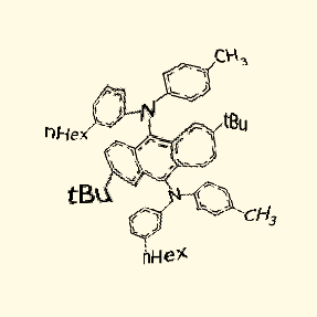 CCCCCCc1cccc(N(c2ccc(C)cc2)c2c3ccc(C(C)(C)C)cc3c(N(c3ccc(C)cc3)c3cccc(CCCCCC)c3)c3ccc(C(C)(C)C)cc23)c1